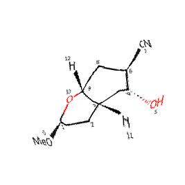 CO[C@@H]1C[C@H]2[C@@H](O)[C@H](C#N)C[C@H]2O1